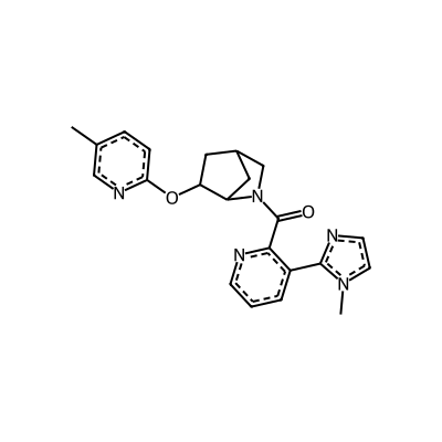 Cc1ccc(OC2CC3CC2N(C(=O)c2ncccc2-c2nccn2C)C3)nc1